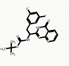 CC(C)(C)OC(=O)NC(Cc1cc(F)cc(F)c1)c1nc2ncccc2c(=O)[nH]1